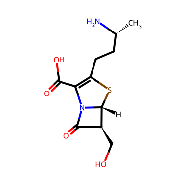 C[C@@H](N)CCC1=C(C(=O)O)N2C(=O)[C@H](CO)[C@H]2S1